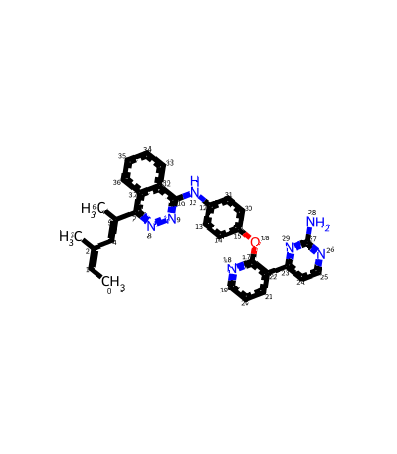 C/C=C(C)\C=C(/C)c1nnc(Nc2ccc(Oc3ncccc3-c3ccnc(N)n3)cc2)c2ccccc12